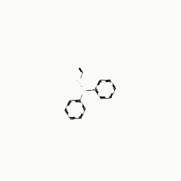 O=[C]NN(c1ccccc1)c1ccccc1